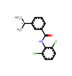 C[C@@H](C(=O)O)c1cccc(C(=O)Nc2c(Cl)cccc2Cl)c1